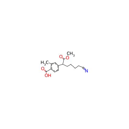 COC(=O)C(CCCCC#N)c1ccc(C(=O)O)c(C)c1